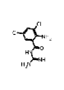 N=C(N)NC(=O)c1cc(Cl)cc(Cl)c1N